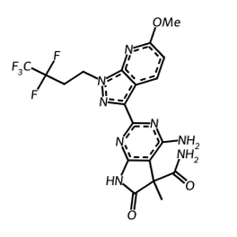 COc1ccc2c(-c3nc(N)c4c(n3)NC(=O)C4(C)C(N)=O)nn(CCC(F)(F)C(F)(F)F)c2n1